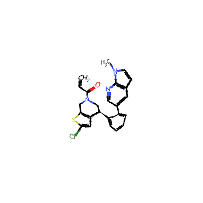 C=CC(=O)N1Cc2sc(Cl)cc2[C@H](c2ccccc2-c2cnc3c(ccn3C)c2)C1